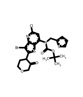 CC(C)(C)OC(=O)N(Cc1cccs1)c1cc(Cl)nc2c(Br)c(C3CCOCC3=O)sc12